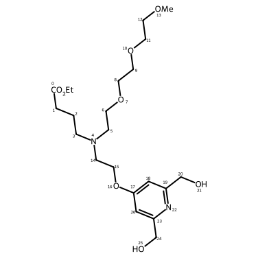 CCOC(=O)CCCN(CCOCCOCCOC)CCOc1cc(CO)nc(CO)c1